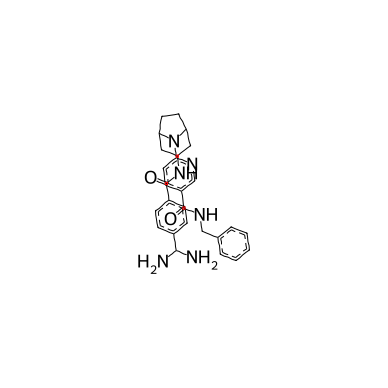 NC(N)c1ccc(C(=O)NC2CC3CCC(C2)N3c2ccc(C(=O)NCc3ccccc3)cn2)cc1